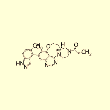 C=CC(=O)N1CCN2c3ncnc4cc(-c5c(C)ccc6[nH]ncc56)c(Cl)c(c34)OCC[C@@H]2C1